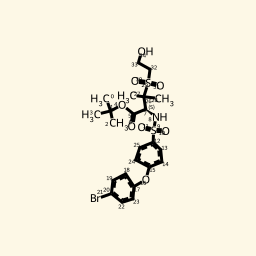 CC(C)(C)OC(=O)[C@H](NS(=O)(=O)c1ccc(Oc2ccc(Br)cc2)cc1)C(C)(C)S(=O)(=O)CCO